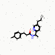 CC1C=CC(CCC(=O)NC(C)c2ccc(CCC(F)(F)F)cn2)=CC1